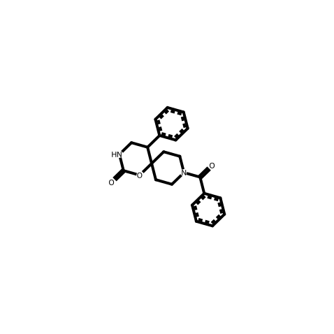 O=C1NCC(c2ccccc2)C2(CCN(C(=O)c3ccccc3)CC2)O1